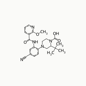 COc1ncccc1C(=O)Nc1cc(C#N)ccc1N1CCN(C(=O)O)C(C(C)(C)C)C1